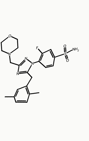 Cc1ccc(C)c(Cc2nc(CN3CCOCC3)nn2-c2ccc(S(N)(=O)=O)cc2F)c1